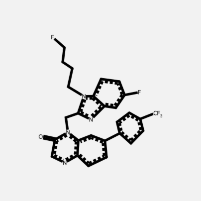 O=c1cnc2ccc(-c3ccc(C(F)(F)F)cc3)cc2n1Cc1nc2cc(F)ccc2n1CCCCF